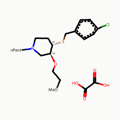 CCCCCN1CC[C@H](SCc2ccc(Cl)cc2)[C@@H](OCCOC)C1.O=C(O)C(=O)O